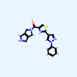 O=C(c1csc(-c2cnn(-c3ccccc3)c2)n1)N1CC2=C(CNC2)C1